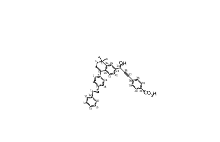 CC1(C)CC=C(c2ccc(SCc3ccccc3)cc2)c2ccc(C(O)C#Cc3ccc(C(=O)O)cc3)cc21